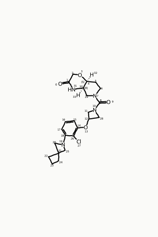 O=C1CO[C@H]2CCN(C(=O)N3CC(Oc4cccc(N5CC6(CCC6)C5)c4Cl)C3)C[C@H]2N1